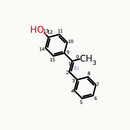 C/C(=C\c1ccccc1)c1ccc(O)cc1